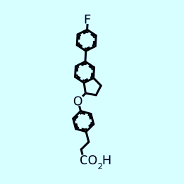 O=C(O)CCc1ccc(OC2CCc3cc(-c4ccc(F)cc4)ccc32)cc1